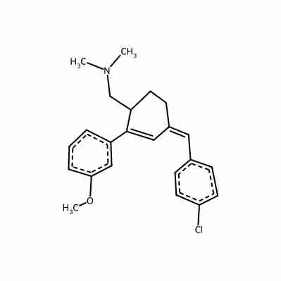 COc1cccc(C2=CC(=Cc3ccc(Cl)cc3)CCC2CN(C)C)c1